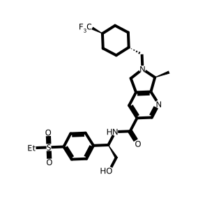 CCS(=O)(=O)c1ccc([C@H](CO)NC(=O)c2cnc3c(c2)CN(C[C@H]2CC[C@H](C(F)(F)F)CC2)[C@H]3C)cc1